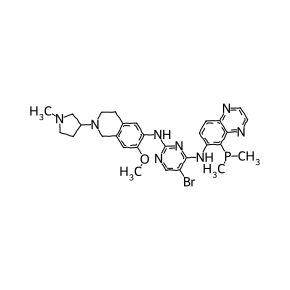 COc1cc2c(cc1Nc1ncc(Br)c(Nc3ccc4nccnc4c3P(C)C)n1)CCN(C1CCN(C)C1)C2